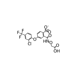 O=C(O)CONC(=O)c1cc(Oc2ccc(C(F)(F)F)cc2Cl)ccc1[N+](=O)[O-]